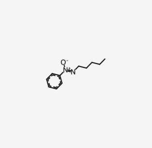 CCCCC/N=[N+](\[O-])c1ccccc1